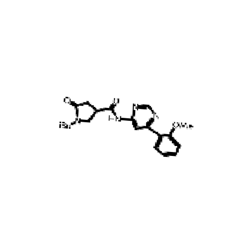 CCC(C)N1CC(C(=O)Nc2cc(-c3ccccc3OC)ncn2)CC1=O